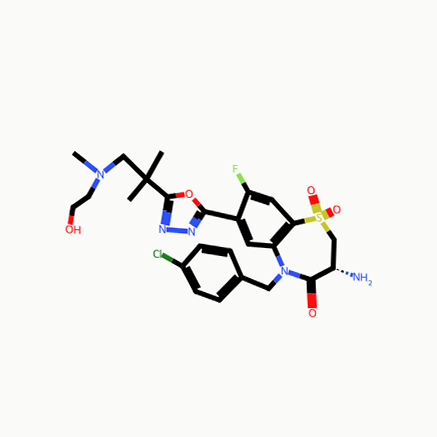 CN(CCO)CC(C)(C)c1nnc(-c2cc3c(cc2F)S(=O)(=O)C[C@H](N)C(=O)N3Cc2ccc(Cl)cc2)o1